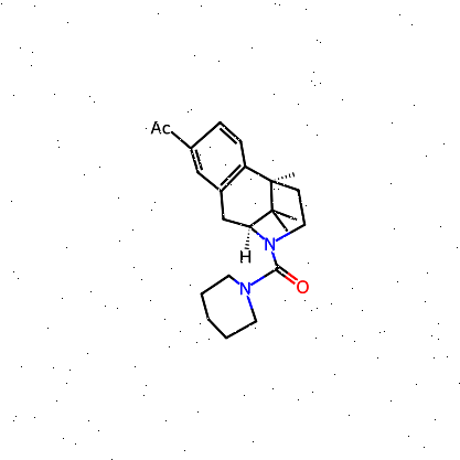 CC(=O)c1ccc2c(c1)C[C@@H]1N(C(=O)N3CCCCC3)CC[C@@]2(C)C1(C)C